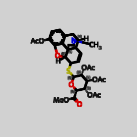 COC(=O)[C@H]1O[C@@H](SC2C=CC3[C@H]4Cc5ccc(OC(C)=O)c6c5[C@@]3(CCN4C)[C@H]2O6)[C@H](OC(C)=O)[C@@H](OC(C)=O)[C@@H]1OC(C)=O